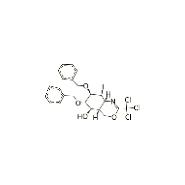 O[C@@H]1[C@H]2COC(C(Cl)(Cl)Cl)=N[C@H]2[C@H](I)[C@H](OCc2ccccc2)[C@H]1OCc1ccccc1